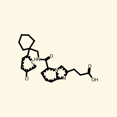 O=C(O)CCc1cn2c(C(=O)NCC3(c4ccc(Cl)cc4)CCCCC3)cccc2n1